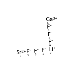 [F-].[F-].[F-].[F-].[F-].[F-].[Ga+3].[Li+].[Sr+2]